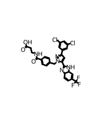 O=C(O)CCNC(=O)c1ccc(Cn2nc(-c3cc(Cl)cc(Cl)c3)cc2C2=NC3C=CC(C(F)(F)F)=CC3N2)cc1